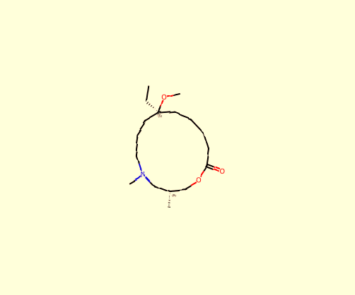 CC[C@]1(OC)CCCCC(=O)OC[C@H](C)CN(C)CCC1